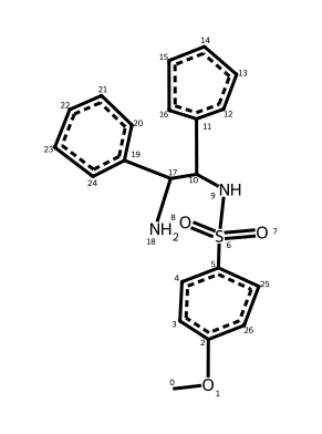 COc1ccc(S(=O)(=O)NC(c2ccccc2)C(N)c2ccccc2)cc1